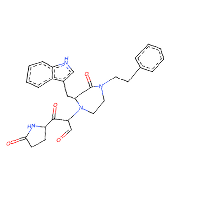 O=CC(C(=O)C1CCC(=O)N1)N1CCN(CCc2ccccc2)C(=O)C1Cc1c[nH]c2ccccc12